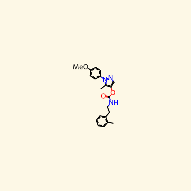 COc1ccc(-n2ncc(OC(=O)NCCc3ccccc3C)c2C)cc1